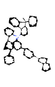 CC1(c2ccccc2)c2ccccc2-c2c(N(c3cccc(-c4ccc(-c5ccc6ccccc6c5)cc4)c3)c3ccccc3-c3ccc(-c4ccccc4)cc3)cccc21